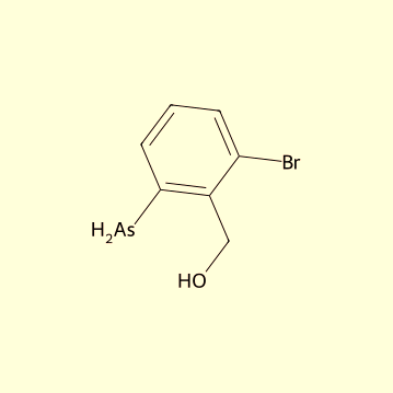 OCc1c([AsH2])cccc1Br